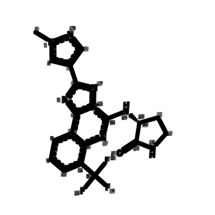 Cn1cc(-c2nc3c4cccc(C(F)(F)F)c4nc(N[C@@H]4CCNC4=O)n3n2)cn1